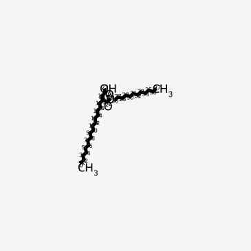 CCCCCCCCCCCCCCCCCCC(=CC(=O)O)C(=O)OCCCCCCCCCCCC